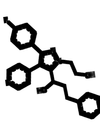 OCCn1nc(-c2ccc(F)cc2)c(-c2ccncc2)c1C(O)CCc1ccccc1